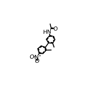 CC(=O)Nc1ccc(C)c(-c2ccc([N+](=O)[O-])cc2C)c1